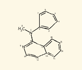 CN(c1ccccc1)c1ncnc2ccccc12